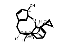 OC1=CC2C[C@@H]3[C@H](O)[C@@H](CC4=CC(O[C@@H]13)[C@H](O)C=C4)N2CC1CC1